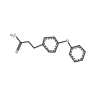 CC(=O)CCc1ccc(Oc2ccccc2)cc1